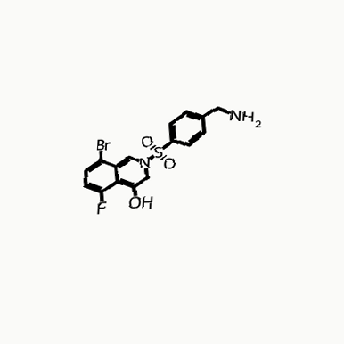 NCc1ccc(S(=O)(=O)N2C=c3c(Br)ccc(F)c3=C(O)C2)cc1